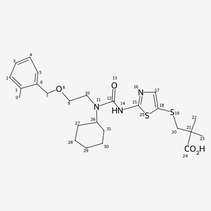 Cc1ccccc1COCCN(C(=O)Nc1ncc(SCC(C)(C)C(=O)O)s1)C1CCCCC1